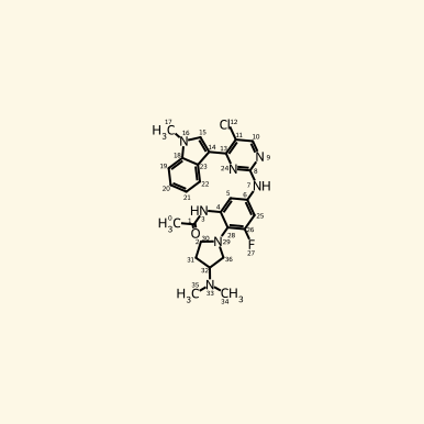 CC(=O)Nc1cc(Nc2ncc(Cl)c(-c3cn(C)c4ccccc34)n2)cc(F)c1N1CCC(N(C)C)C1